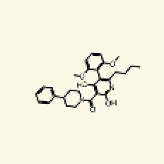 CCCCc1nc(O)c(C(=O)N2CCC(c3ccccc3)CC2)c(O)c1-c1c(OC)cccc1OC